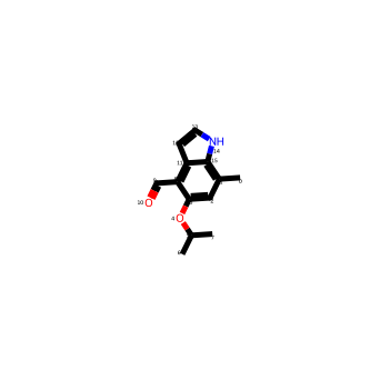 Cc1cc(OC(C)C)c(C=O)c2cc[nH]c12